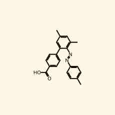 Cc1ccc(N=Nc2c(C)cc(C)cc2-c2ccc(C(=O)O)cc2)cc1